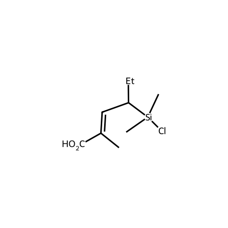 CCC(C=C(C)C(=O)O)[Si](C)(C)Cl